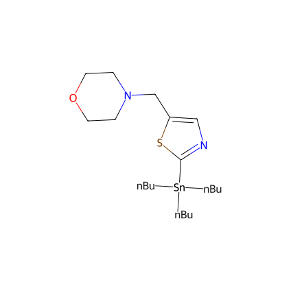 CCC[CH2][Sn]([CH2]CCC)([CH2]CCC)[c]1ncc(CN2CCOCC2)s1